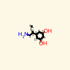 C=C=C(CN)c1cc(O)cc(O)c1